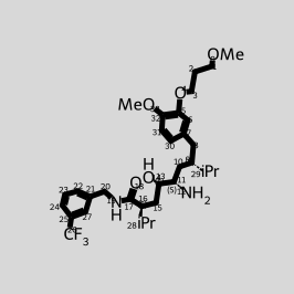 COCCCOc1cc(C[C@@H](C[C@H](N)[C@@H](O)C[C@H](C(=O)NCc2cccc(C(F)(F)F)c2)C(C)C)C(C)C)ccc1OC